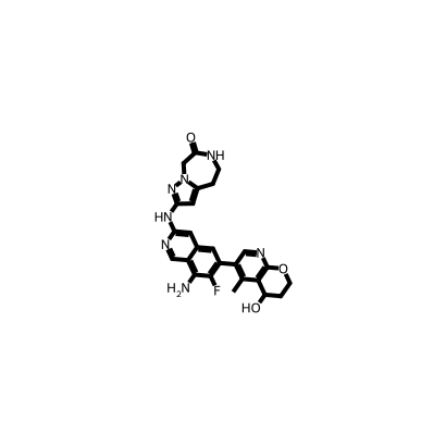 Cc1c(-c2cc3cc(Nc4cc5n(n4)CC(=O)NCC5)ncc3c(N)c2F)cnc2c1C(O)CCO2